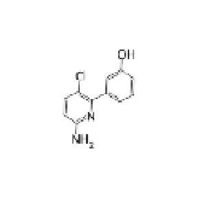 Nc1ccc(Cl)c(-c2cccc(O)c2)n1